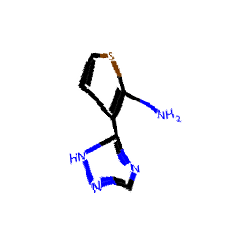 Nc1sccc1-c1ncn[nH]1